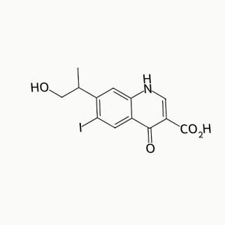 CC(CO)c1cc2[nH]cc(C(=O)O)c(=O)c2cc1I